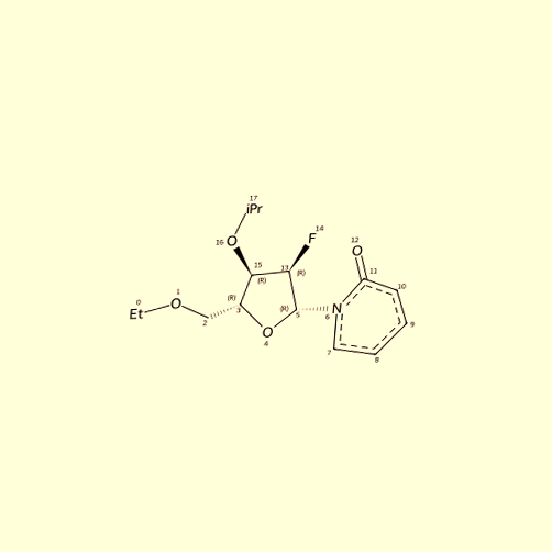 CCOC[C@H]1O[C@@H](n2ccccc2=O)[C@H](F)[C@@H]1OC(C)C